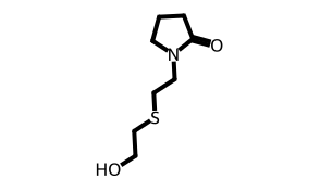 O=C1CCCN1CCSCCO